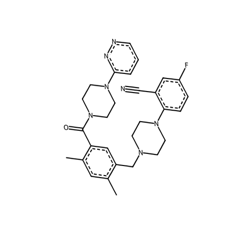 Cc1cc(C)c(C(=O)N2CCN(c3cccnn3)CC2)cc1CN1CCN(c2ccc(F)cc2C#N)CC1